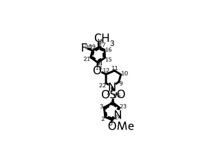 COc1ccc(S(=O)(=O)N2CCCC(Oc3ccc(C)c(F)c3)C2)cn1